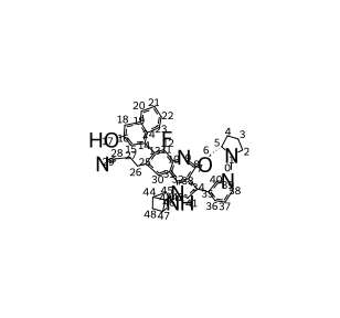 CN1CCC[C@H]1COc1nc2c(F)c(-c3cc(O)cc4ccccc34)c(CCC#N)cc2c2c1c(-c1cccnc1)cn2C1C2CNC1C2